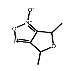 CC1OC(C)c2c1no[n+]2[O-]